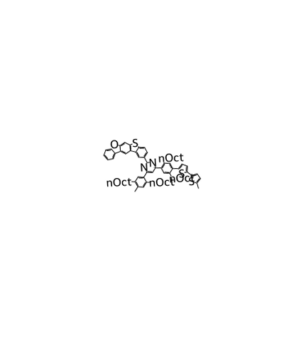 CCCCCCCCc1cc(-c2cc(-c3cc(CCCCCCCC)c(-c4ccc(-c5ccc(C)s5)s4)cc3CCCCCCCC)nc(-c3ccc4sc5cc6oc7ccccc7c6cc5c4c3)n2)c(CCCCCCCC)cc1C